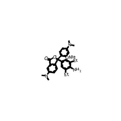 CCc1cc(C2(c3ccc(N(C)C)cc3)OC(=O)c3cc(N(C)C)ccc32)c(OC)c(CC)c1N